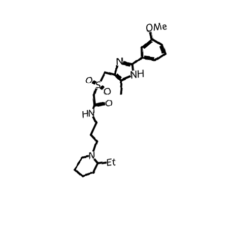 CCC1CCCCN1CCCNC(=O)CS(=O)(=O)Cc1nc(-c2cccc(OC)c2)[nH]c1C